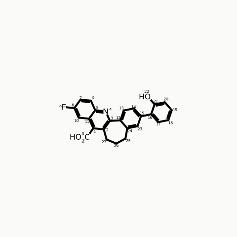 O=C(O)c1c2c(nc3ccc(F)cc13)-c1ccc(-c3ccccc3O)cc1CCC2